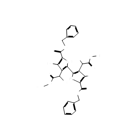 COC(=O)C(C)c1c(-c2[nH]c(C(=O)OCc3ccccc3)c(C)c2C(C)C(=O)OC)[nH]c(C(=O)OCc2ccccc2)c1C